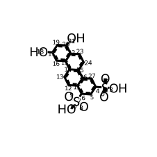 O=S(=O)(O)c1cc(S(=O)(=O)O)c2ccc3c4cc(O)cc(O)c4ccc3c2c1